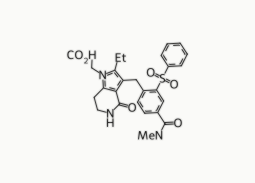 CCc1c(Cc2ccc(C(=O)NC)cc2S(=O)(=O)c2ccccc2)c2c(n1CC(=O)O)CCNC2=O